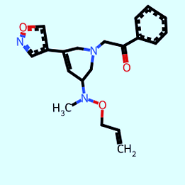 C=CCON(C)C1C=C(c2cnoc2)CN(CC(=O)c2ccccc2)C1